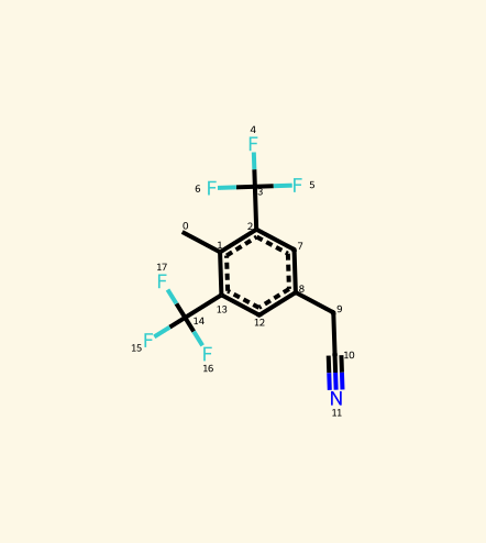 Cc1c(C(F)(F)F)cc(CC#N)cc1C(F)(F)F